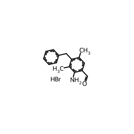 Br.Cc1cc(C=O)c(N)c(C)c1Cc1ccccc1